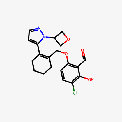 O=Cc1c(OCC2=C(c3ccnn3C3COC3)CCCC2)ccc(Cl)c1O